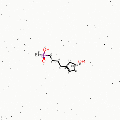 CCP(=O)(O)CCCCC1=CC[C@@H](O)C1